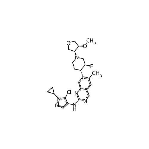 CO[C@@H]1COC[C@@H]1N1CC[C@@H](c2cc3nc(Nc4cnn(C5CC5)c4Cl)ncc3cc2C)[C@H](F)C1